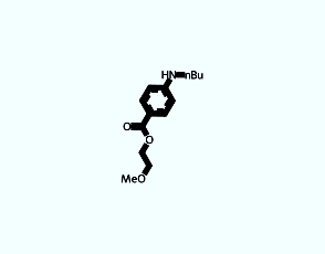 CCCCNc1ccc(C(=O)OCCOC)cc1